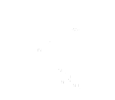 COCCCSc1ccc(-c2ccccc2/C(N)=N/NN)cc1NC(=O)Cc1ccc(C)cc1